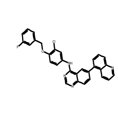 Fc1cccc(COc2ccc(Nc3ncnc4ccc(-c5cccc6ncccc56)cc34)cc2Cl)c1